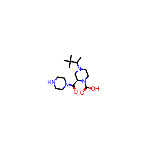 CC(N1CCN(C(=O)O)[C@@H](C(=O)N2CCNCC2)C1)C(C)(C)C